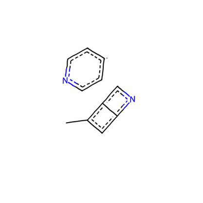 Cc1cc2ncc1-2.[c]1ccncc1